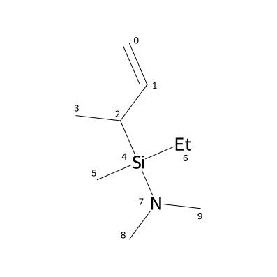 C=CC(C)[Si](C)(CC)N(C)C